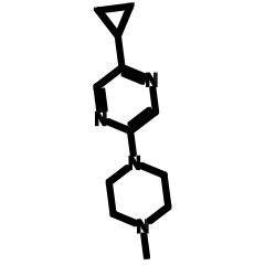 CN1CCN(c2cnc(C3CC3)cn2)CC1